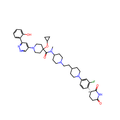 CN(C(=O)C1(OC2CC2)CCN(c2cnnc(-c3ccccc3O)c2)CC1)C1CCN(CCC2CCN(c3ccc([C@H]4CCC(=O)NC4=O)c(F)c3)CC2)CC1